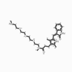 CNCCOCCOCCOCCN(C)C(=O)CCc1c(C)[nH]c(C=C2C(=O)Nc3ccccc32)c1C